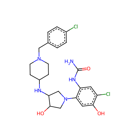 NC(=O)Nc1cc(Cl)c(O)cc1N1CC(O)C(NC2CCN(Cc3ccc(Cl)cc3)CC2)C1